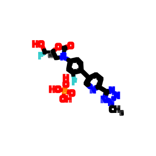 Cn1nnc(-c2ccc(-c3ccc(N4C[C@H](C(O)F)OC4=O)cc3F)cn2)n1.O=P(O)(O)O